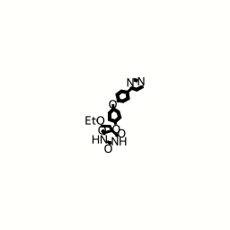 CCOCCC1(Oc2ccc(Oc3ccc(-c4ccncn4)cc3)cc2)C(=O)NC(=O)NC1=O